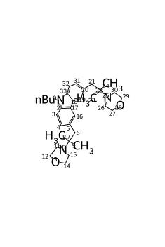 CCCCn1c2ccc(CC(C)(C)N3CCOCC3)cc2c2cc(CC(C)(C)N3CCOCC3)ccc21